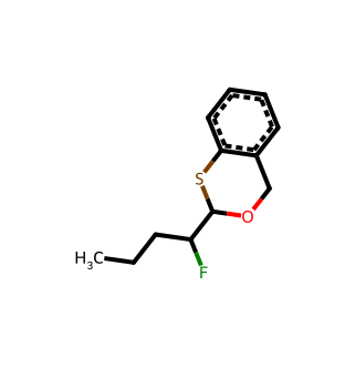 CCCC(F)C1OCc2ccccc2S1